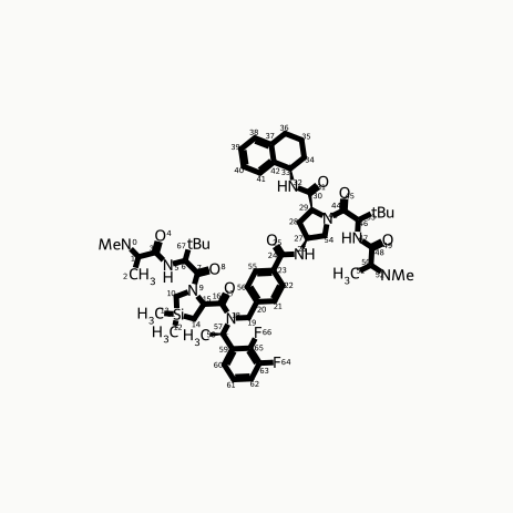 CNC(C)C(=O)NC(C(=O)N1C[Si](C)(C)CC1C(=O)N(Cc1ccc(C(=O)N[C@H]2C[C@@H](C(=O)N[C@@H]3CCCc4ccccc43)N(C(=O)C(NC(=O)C(C)NC)C(C)(C)C)C2)cc1)[C@H](C)c1cccc(F)c1F)C(C)(C)C